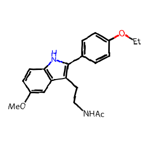 CCOc1ccc(-c2[nH]c3ccc(OC)cc3c2CCNC(C)=O)cc1